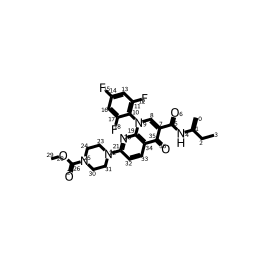 C=C(CC)NC(=O)c1cn(-c2c(F)cc(F)cc2F)c2nc(N3CCN(C(=O)OC)CC3)ccc2c1=O